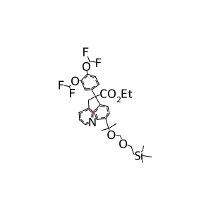 CCOC(=O)C(Cc1cccnc1)(c1ccc(C(C)(C)OCOCC[Si](C)(C)C)cc1)c1ccc(OC(F)F)c(OC(F)F)c1